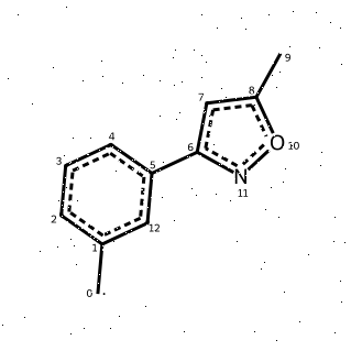 [CH2]c1cccc(-c2cc(C)on2)c1